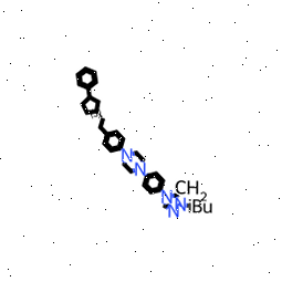 C=C1N(c2ccc(N3CCN(c4ccc(CC[C@@H]5CCC(c6ccccc6)C5)cc4)CC3)cc2)C=NN1C(C)CC